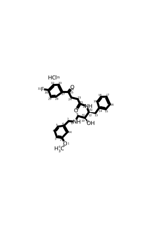 COc1cccc(CNC[C@H](O)[C@H](Cc2ccccc2)NC(=O)CCC(=O)c2ccc(F)cc2)c1.Cl